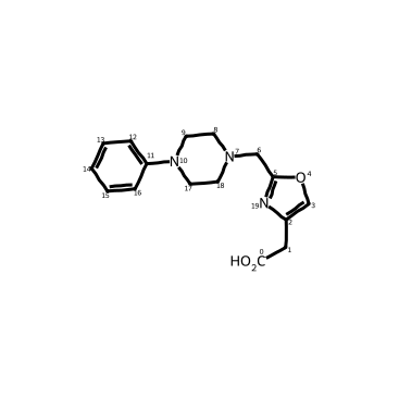 O=C(O)Cc1coc(CN2CCN(c3ccccc3)CC2)n1